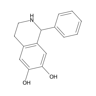 Oc1cc2c(cc1O)C(c1ccccc1)NCC2